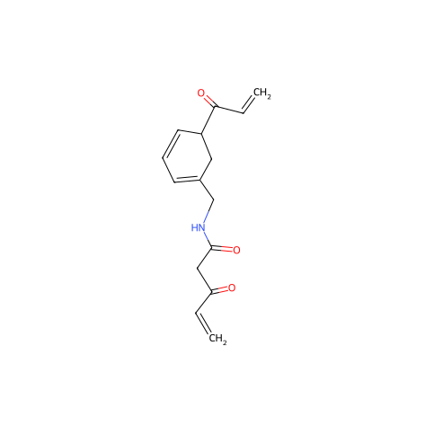 C=CC(=O)CC(=O)NCC1=CC=CC(C(=O)C=C)C1